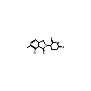 Cc1ccc2c(c1Br)C(=O)N(C1CCC(=O)NC1=O)C2